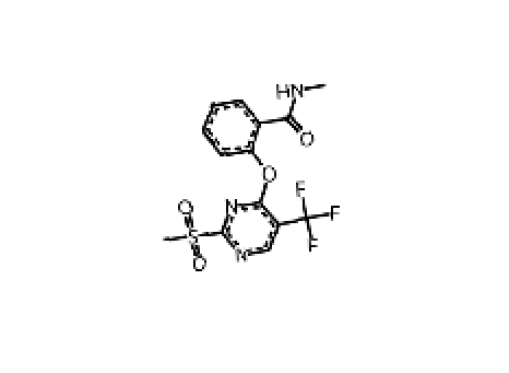 CNC(=O)c1ccccc1Oc1nc(S(C)(=O)=O)ncc1C(F)(F)F